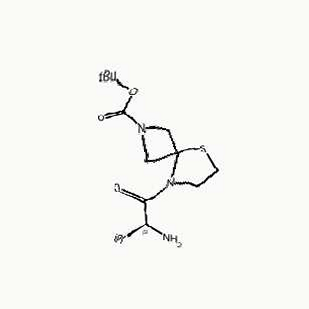 CC(C)[C@H](N)C(=O)N1CCSC12CN(C(=O)OC(C)(C)C)C2